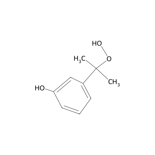 CC(C)(OO)c1cccc(O)c1